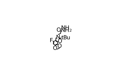 CC(C)(C)C(=O)N(CCC(=O)NN)Cc1cc2c(cc1F)OCCO2